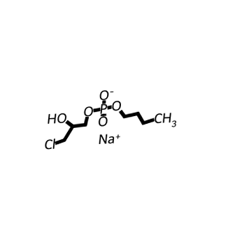 CCCCOP(=O)([O-])OCC(O)CCl.[Na+]